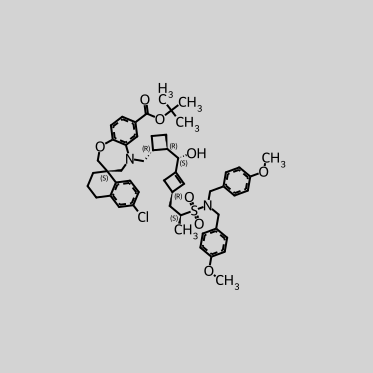 COc1ccc(CN(Cc2ccc(OC)cc2)S(=O)(=O)[C@@H](C)C[C@@H]2C=C([C@@H](O)[C@@H]3CC[C@H]3CN3C[C@@]4(CCCc5cc(Cl)ccc54)COc4ccc(C(=O)OC(C)(C)C)cc43)C2)cc1